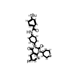 CC(C)(C)c1ccc(C(=O)NC2CCC(n3c(=O)c4cc(F)cnc4n(C4CCSCC4)c3=O)CC2)cc1